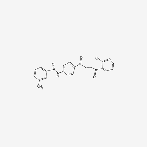 Cc1cccc(C(=O)Nc2ccc(C(=O)CCC(=O)c3ccccc3Cl)cc2)c1